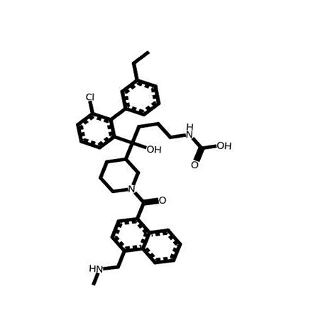 CCc1cccc(-c2c(Cl)cccc2C(O)(CCCNC(=O)O)C2CCCN(C(=O)c3ccc(CNC)c4ccccc34)C2)c1